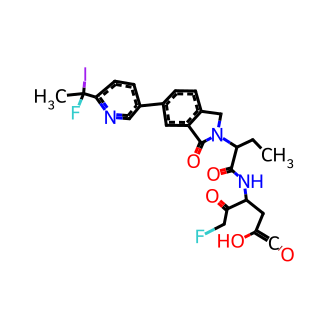 CCC(C(=O)NC(CC(O)=C=O)C(=O)CF)N1Cc2ccc(-c3ccc(C(C)(F)I)nc3)cc2C1=O